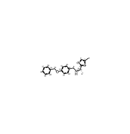 Cc1cnc([C@H](C)NCc2ccc(OCc3ccccc3)cc2)s1